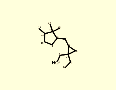 CCC1(CO)CC1C[C@H]1CCC(C)C1(C)C